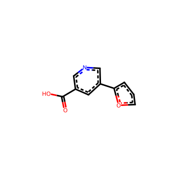 O=C(O)c1cncc(-c2ccco2)c1